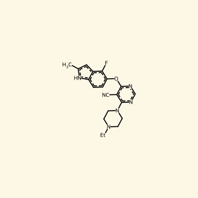 CCN1CCN(c2ncnc(Oc3ccc4[nH]c(C)cc4c3F)c2C#N)CC1